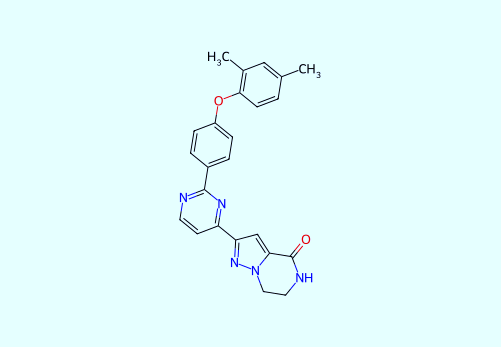 Cc1ccc(Oc2ccc(-c3nccc(-c4cc5n(n4)CCNC5=O)n3)cc2)c(C)c1